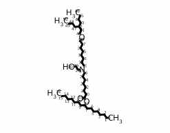 CCCCCCCCC(CCCCCCCC)OC(=O)CCCCCCCN(CCO)CCCCCCCCOCCC(CCCC)CCCC